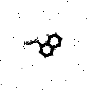 [SeH][Se]c1cccc2ccccc12